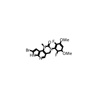 COC1=CC(OC)C(F)C(N2Cc3cnc4[nH]c(Br)cc4c3N(C)C2=O)=C1F